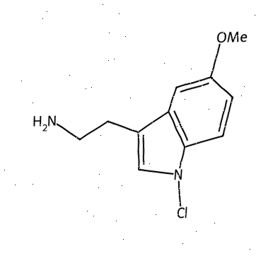 COc1ccc2c(c1)c(CCN)cn2Cl